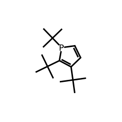 CC(C)(C)c1ccp(C(C)(C)C)c1C(C)(C)C